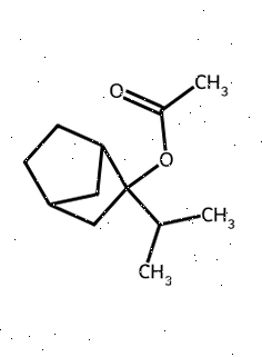 CC(=O)OC1(C(C)C)CC2CCC1C2